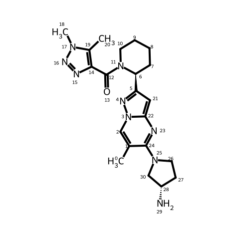 Cc1cn2nc([C@@H]3CCCCN3C(=O)c3nnn(C)c3C)cc2nc1N1CC[C@H](N)C1